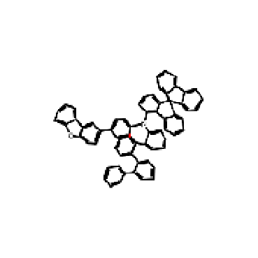 c1ccc(-c2ccccc2-c2ccccc2-c2ccccc2N(c2ccc(-c3ccc4oc5ccccc5c4c3)cc2)c2cccc3c2-c2ccccc2C32c3ccccc3-c3ccccc32)cc1